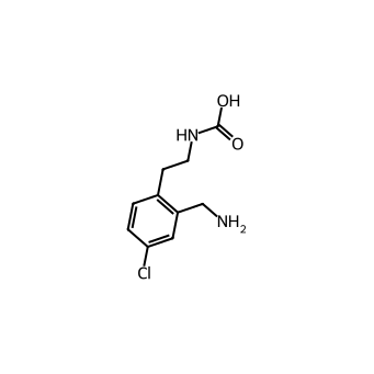 NCc1cc(Cl)ccc1CCNC(=O)O